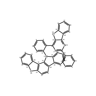 c1ccc(-c2nc(-c3ccccc3-n3c4ccccc4c4ccc5oc6ccccc6c5c43)c3oc4ccccc4c3n2)cc1